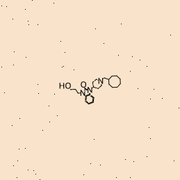 O=c1n(CCCO)c2ccccc2n1C1CCN(CC2CCCCCCC2)CC1